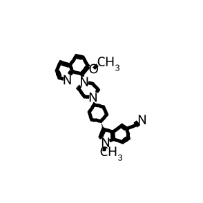 COc1ccc2cccnc2c1N1CCN([C@H]2CC[C@@H](c3cn(C)c4ccc(C#N)cc43)CC2)CC1